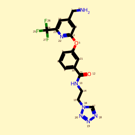 NCc1cc(Oc2cccc(C(=O)NCCn3cnnn3)c2)nc(C(F)(F)F)c1